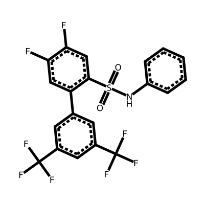 O=S(=O)(Nc1ccccc1)c1cc(F)c(F)cc1-c1cc(C(F)(F)F)cc(C(F)(F)F)c1